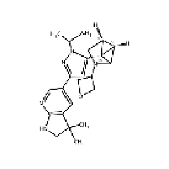 CC(C)n1nc(-c2cnc3c(c2)C(C)(C)CN3)cc1[C@@]12C3[C@H]1[C@H]2CN3C1COC1